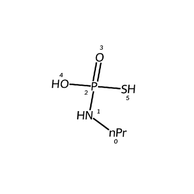 CCCNP(=O)(O)S